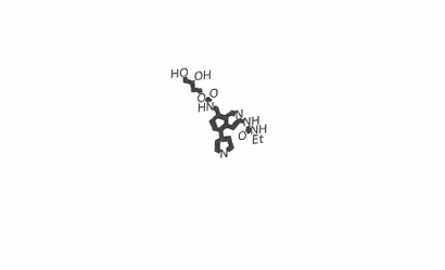 CCNC(=O)Nc1cc2c(-c3ccncc3)ccc(CNC(=O)OCC[C@@H](O)CO)c2cn1